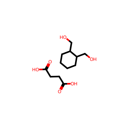 O=C(O)CCC(=O)O.OCC1CCCCC1CO